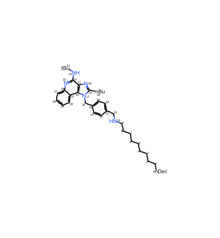 CCCCCCCCCCCCCCCCCCCNCc1ccc(Cn2c(CCCC)nc3c(NC(C)(C)C)nc4ccccc4c32)cc1